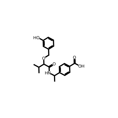 CC(NC(=O)C(OCc1cccc(O)c1)C(C)C)c1ccc(C(=O)O)cc1